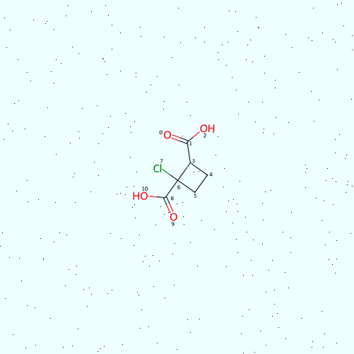 O=C(O)C1CCC1(Cl)C(=O)O